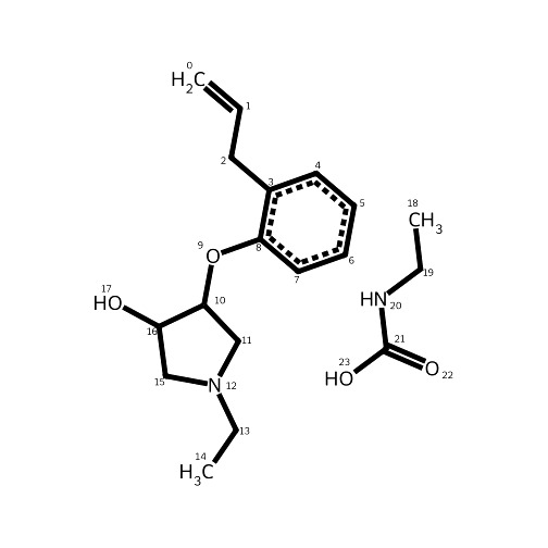 C=CCc1ccccc1OC1CN(CC)CC1O.CCNC(=O)O